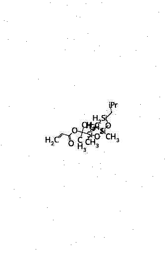 C=CC(=O)OC(C)(C)[Si](C)(C)O[Si](C)(C)O[SiH2]CC(C)C